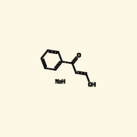 O=C(C=CO)c1ccccc1.[NaH]